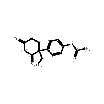 CCC1(c2ccc(OC(N)=O)cc2)CCC(=O)NC1=O